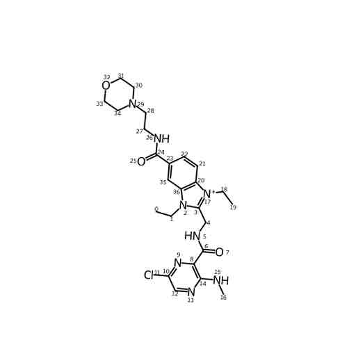 CCn1c(CNC(=O)c2nc(Cl)cnc2NC)[n+](CC)c2ccc(C(=O)NCCN3CCOCC3)cc21